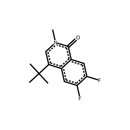 Cn1cc(C(C)(C)C)c2cc(F)c(F)cc2c1=O